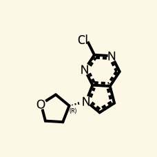 Clc1ncc2ccn([C@@H]3CCOC3)c2n1